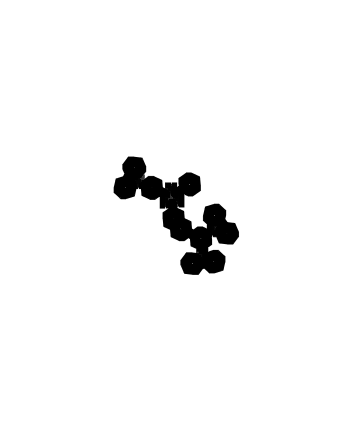 c1ccc(-c2nc(-c3ccc(-n4c5ccccc5c5ccccc54)cc3)nc(-c3ccc4ccc(-c5cc(-n6c7ccccc7c7ccccc76)cc(-n6c7ccccc7c7ccccc76)c5)cc4c3)n2)cc1